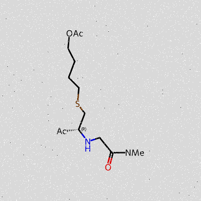 CNC(=O)CN[C@@H](CSCCCCOC(C)=O)C(C)=O